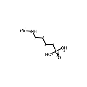 CC(C)(C)NCCCCP(=O)(O)O